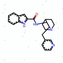 O=C(NC1C2CCN(CC2)C1Cc1cccnc1)c1cc2ccccc2[nH]1